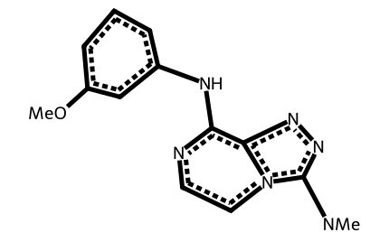 CNc1nnc2c(Nc3cccc(OC)c3)nccn12